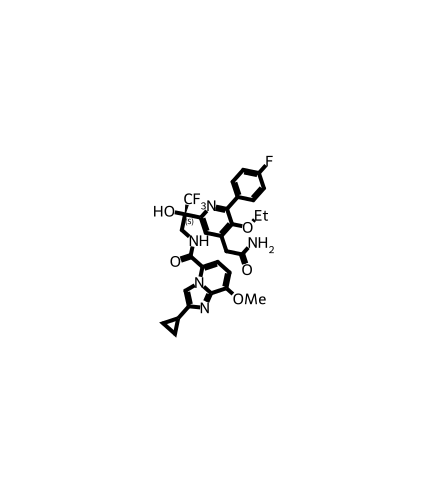 CCOc1c(CC(N)=O)cc([C@@](O)(CNC(=O)c2ccc(OC)c3nc(C4CC4)cn23)C(F)(F)F)nc1-c1ccc(F)cc1